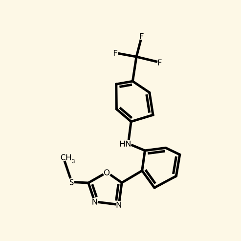 CSc1nnc(-c2ccccc2Nc2ccc(C(F)(F)F)cc2)o1